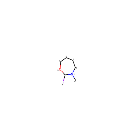 CN1CCCCOC1I